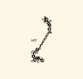 C[C@@H](NC(=O)c1cccc(NC2(c3nnc(-c4ccncc4)[nH]3)CCNCC2)c1)c1ccc(OCCCCCCOCCOCCOCCC(=O)N2CCN(c3ccc4c(c3)CN(C3CCC(=O)NC3=O)C4=O)CC2)cc1.Cl